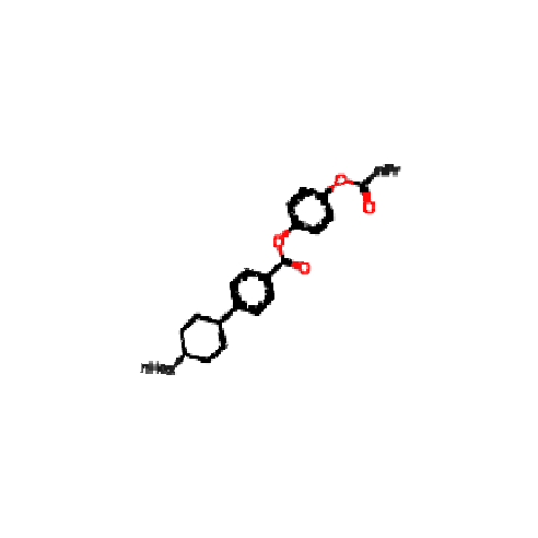 CCCCCCC1CCC(c2ccc(C(=O)Oc3ccc(OC(=O)CCC)cc3)cc2)CC1